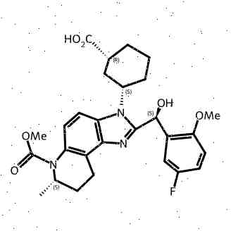 COC(=O)N1c2ccc3c(nc([C@@H](O)c4cc(F)ccc4OC)n3[C@H]3CCC[C@@H](C(=O)O)C3)c2CC[C@@H]1C